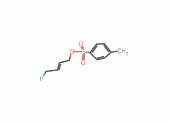 Cc1ccc(S(=O)(=O)OCC=CCF)cc1